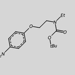 CCN(CCOc1ccc(N)cc1)C(=O)OC(C)(C)C